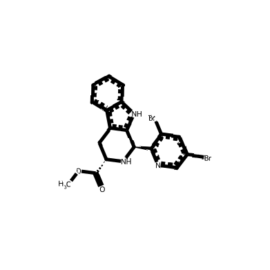 COC(=O)[C@@H]1Cc2c([nH]c3ccccc23)[C@@H](c2ncc(Br)cc2Br)N1